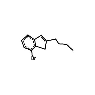 CCCCC1=Cc2cccc(Br)c2C1